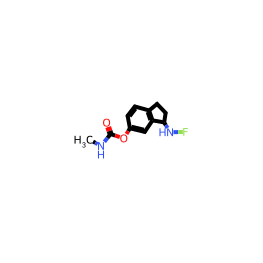 CNC(=O)Oc1ccc2c(c1)C(NF)CC2